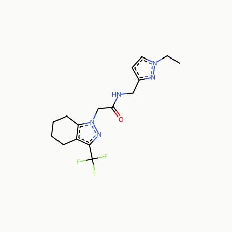 CCn1ccc(CNC(=O)Cn2nc(C(F)(F)F)c3c2CCCC3)n1